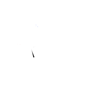 Fc1cccc([C@@H]2CN(Cc3ccccc3)CCO2)c1